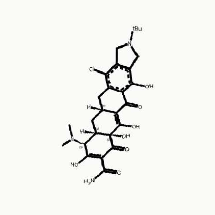 CN(C)[C@@H]1C(O)=C(C(N)=O)C(=O)[C@@]2(O)C(O)=C3C(=O)c4c(O)c5c(c(Cl)c4C[C@H]3C[C@@H]12)CN(C(C)(C)C)C5